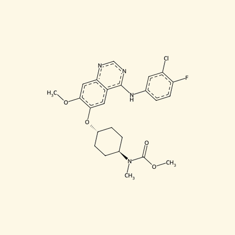 COC(=O)N(C)[C@H]1CC[C@H](Oc2cc3c(Nc4ccc(F)c(Cl)c4)ncnc3cc2OC)CC1